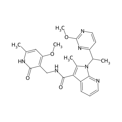 COc1nccc(C(C)n2c(C)c(C(=O)NCc3c(OC)cc(C)[nH]c3=O)c3cccnc32)n1